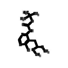 COC(Cc1c(Cl)ncnc1NC(=O)OC(C)(C)C)OC